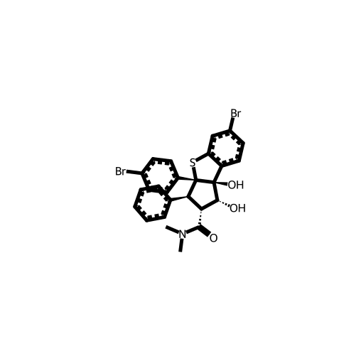 CN(C)C(=O)[C@H]1[C@@H](O)[C@@]2(O)c3ccc(Br)cc3S[C@@]2(c2ccc(Br)cc2)[C@@H]1c1ccccc1